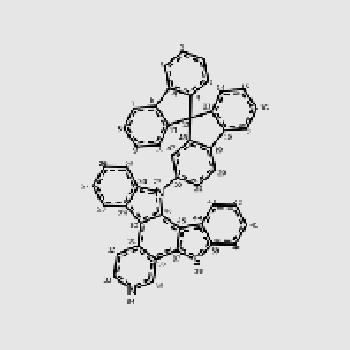 c1ccc2c(c1)-c1ccccc1C21c2ccccc2-c2ccc(-n3c4ccccc4c4c5ccncc5c5sc6ccccc6c5c43)cc21